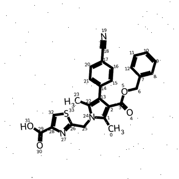 Cc1c(C(=O)OCc2ccccc2)c(-c2ccc(C#N)cc2)c(C)n1Cc1nc(C(=O)O)cs1